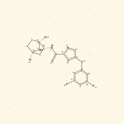 O=C(N[C@@H]1C[C@H]2CC[C@@H]1N2)c1ncc(Sc2cc(F)cc(F)c2)o1